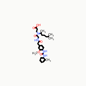 COc1cc(CC(=O)NCC(=O)N(CCC(=O)O)C(C)CCCC(C)C)ccc1NC(=O)Nc1ccccc1C